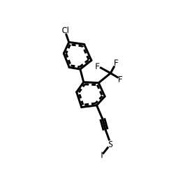 FC(F)(F)c1cc(C#CSI)ccc1-c1ccc(Cl)cc1